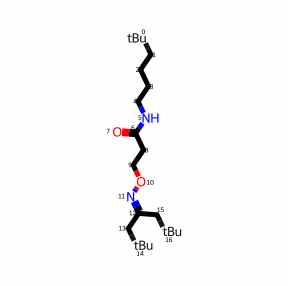 CC(C)(C)CCCCNC(=O)CCON=C(CC(C)(C)C)CC(C)(C)C